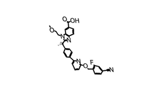 COCCn1c([C@@H](C)c2ccc(-c3cccc(OCc4ccc(C#N)cc4F)n3)cc2)nc2ccc(C(=O)O)cc21